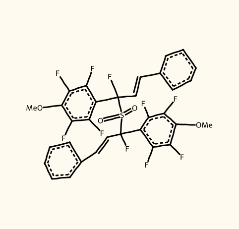 COc1c(F)c(F)c(C(F)(C=Cc2ccccc2)S(=O)(=O)C(F)(C=Cc2ccccc2)c2c(F)c(F)c(OC)c(F)c2F)c(F)c1F